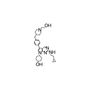 OCCN1CCC(Cc2ccc(-c3cn([C@H]4CC[C@H](O)CC4)c4nc(NCCC5CC5)ncc34)cc2)CC1